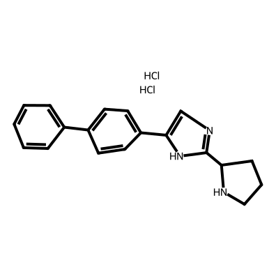 Cl.Cl.c1ccc(-c2ccc(-c3cnc(C4CCCN4)[nH]3)cc2)cc1